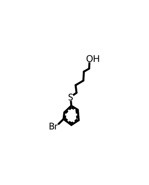 OCCCCCSc1cccc(Br)c1